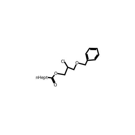 CCCCCCCC(=O)OCC(Cl)COCc1ccccc1